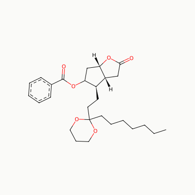 CCCCCCCC1(CC[C@H]2C(OC(=O)c3ccccc3)C[C@@H]3OC(=O)C[C@@H]32)OCCCO1